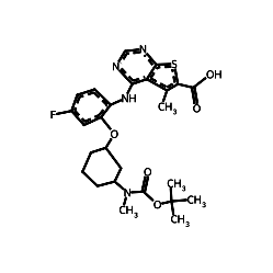 Cc1c(C(=O)O)sc2ncnc(Nc3ccc(F)cc3OC3CCCC(N(C)C(=O)OC(C)(C)C)C3)c12